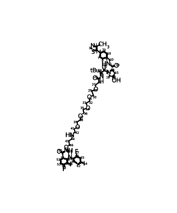 Cc1ncsc1-c1ccc(CNC(=O)[C@@H]2C[C@@H](O)CN2C(=O)[C@@H](NC(=O)CCOCCOCCOCCOCCOCCNCCCONC(=O)c2ccc(F)c(F)c2Nc2ccc(I)cc2F)C(C)(C)C)cc1